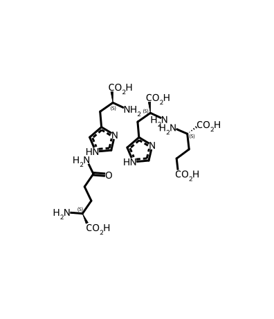 NC(=O)CC[C@H](N)C(=O)O.N[C@@H](CCC(=O)O)C(=O)O.N[C@@H](Cc1c[nH]cn1)C(=O)O.N[C@@H](Cc1c[nH]cn1)C(=O)O